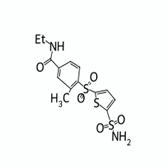 CCNC(=O)c1ccc(S(=O)(=O)c2ccc(S(N)(=O)=O)s2)c(C)c1